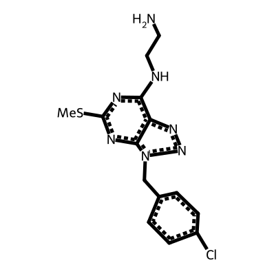 CSc1nc(NCCN)c2nnn(Cc3ccc(Cl)cc3)c2n1